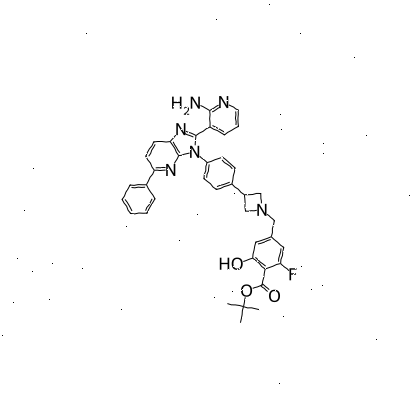 CC(C)(C)OC(=O)c1c(O)cc(CN2CC(c3ccc(-n4c(-c5cccnc5N)nc5ccc(-c6ccccc6)nc54)cc3)C2)cc1F